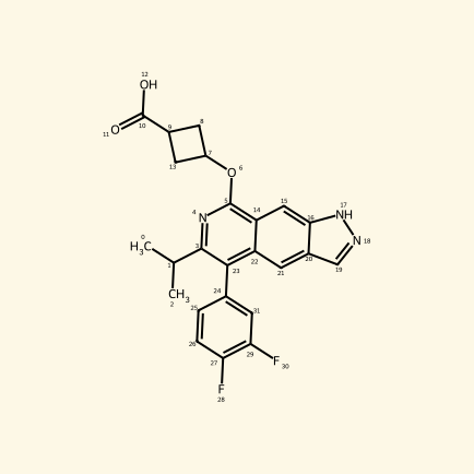 CC(C)c1nc(OC2CC(C(=O)O)C2)c2cc3[nH]ncc3cc2c1-c1ccc(F)c(F)c1